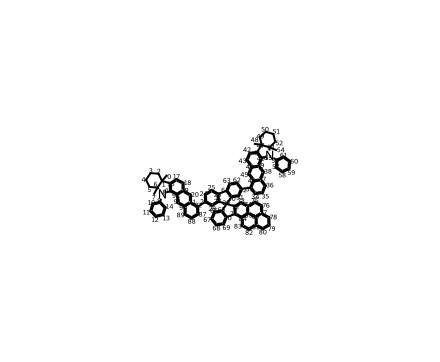 CC12CCCCC1(C)N(c1ccccc1)c1c2ccc2cc3c(-c4ccc5c(c4)C4(c6cc(-c7cccc8cc9c%10c(ccc9cc78)C7(C)CCCCC7(C)N%10c7ccccc7)ccc6-5)c5ccccc5-c5c4cc4ccc6cccc7ccc5c4c67)cccc3cc12